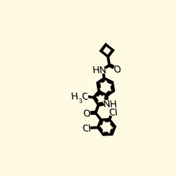 Cc1c(C(=O)c2c(Cl)cccc2Cl)[nH]c2ccc(NC(=O)C3CCC3)cc12